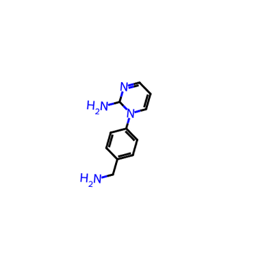 NCc1ccc(N2C=CC=NC2N)cc1